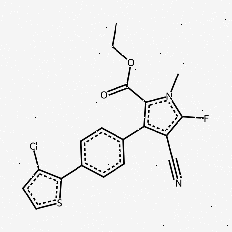 CCOC(=O)c1c(-c2ccc(-c3sccc3Cl)cc2)c(C#N)c(F)n1C